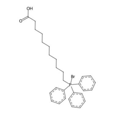 O=C(O)CCCCCCCCCCP(Br)(c1ccccc1)(c1ccccc1)c1ccccc1